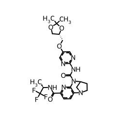 C[C@@H](NC(=O)c1ccc2c(n1)N(C(=O)Nc1ncc(OC[C@@H]3COC(C)(C)O3)cn1)C1CCN2C1)C(F)(F)F